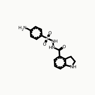 Nc1ccc(S(=O)(=O)NNC(=O)c2cccc3c2CCN3)cc1